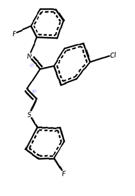 Fc1ccc(S/C=C/C(=N/c2ccccc2F)c2ccc(Cl)cc2)cc1